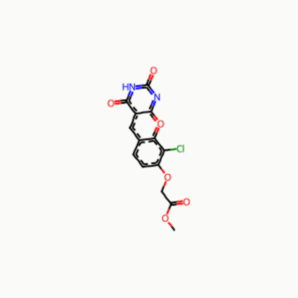 COC(=O)COc1ccc2cc3c(=O)[nH]c(=O)nc-3oc2c1Cl